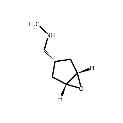 CNC[C@@H]1C[C@@H]2O[C@@H]2C1